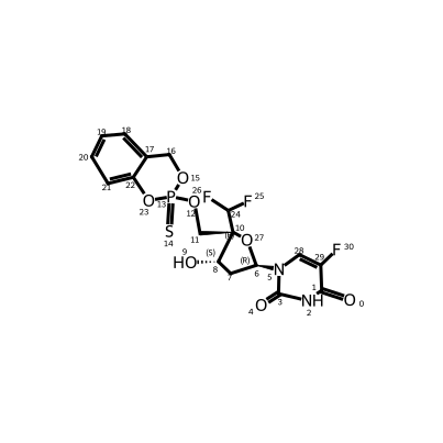 O=c1[nH]c(=O)n([C@H]2C[C@H](O)[C@](COP3(=S)OCc4ccccc4O3)(C(F)F)O2)cc1F